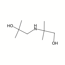 CC(C)(O)CNC(C)(C)CO